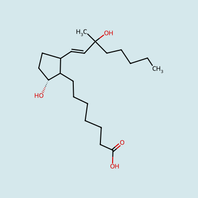 CCCCCC(C)(O)/C=C/C1CC[C@@H](O)C1CCCCCCC(=O)O